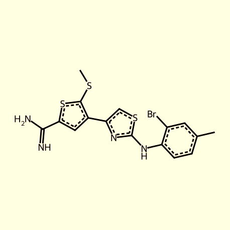 CSc1sc(C(=N)N)cc1-c1csc(Nc2ccc(C)cc2Br)n1